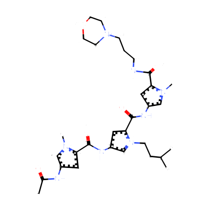 CC(=O)Nc1cc(C(=O)Nc2cc(C(=O)Nc3cc(C(=O)NCCCN4CCOCC4)n(C)c3)n(CCC(C)C)c2)n(C)c1